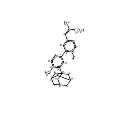 CCC(=Cc1ccc(F)c(-c2ccc(O)c(C34CC5CC(CC(C5)C3)C4)c2)c1)C(=O)O